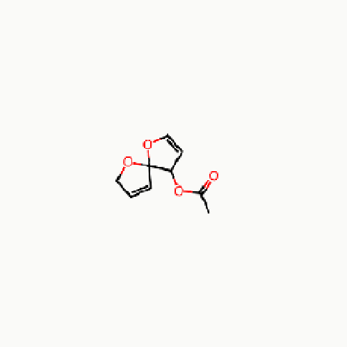 CC(=O)OC1C=COC12C=CCO2